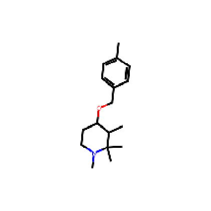 Cc1ccc(COC2CCN(C)C(C)(C)C2C)cc1